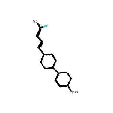 CCCCCC1CCC(C2CCC(C=CC=C(F)C#N)CC2)CC1